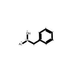 [CH2]C(=O)N(O)Cc1ccccc1